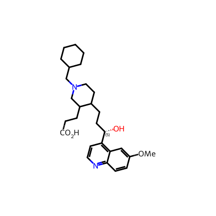 COc1ccc2nccc([C@@H](O)CCC3CCN(CC4CCCCC4)CC3CCC(=O)O)c2c1